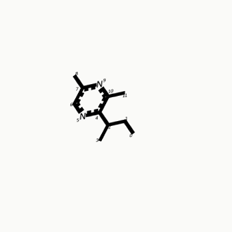 CCC(C)c1ncc(C)nc1C